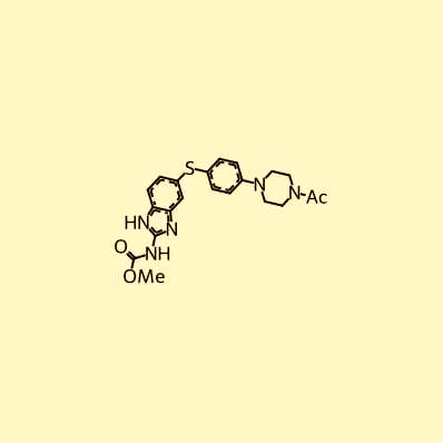 COC(=O)Nc1nc2cc(Sc3ccc(N4CCN(C(C)=O)CC4)cc3)ccc2[nH]1